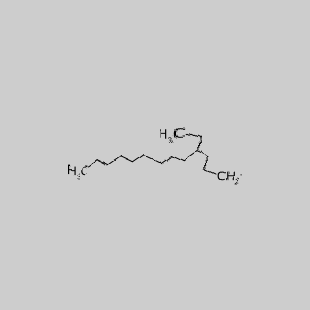 [CH2]CCC(CC)CCCCCCCCC